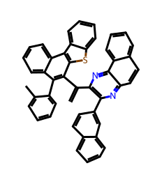 C=C(c1nc2c(ccc3ccccc32)nc1-c1ccc2ccccc2c1)c1c(-c2ccccc2C)c2ccccc2c2c1sc1ccccc12